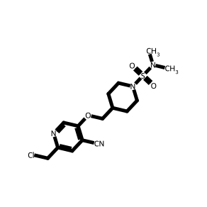 CN(C)S(=O)(=O)N1CCC(COc2cnc(CCl)cc2C#N)CC1